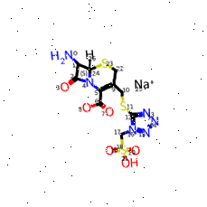 NC1C(=O)N2C(C(=O)[O-])=C(CSc3nnnn3CS(=O)(=O)O)CS[C@@H]12.[Na+]